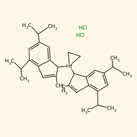 CC1=Cc2c(C(C)C)cc(C(C)C)cc2[CH]1[Hf]1([CH]2C(C)=Cc3c(C(C)C)cc(C(C)C)cc32)[CH2][CH2]1.Cl.Cl